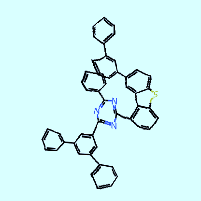 c1ccc(-c2cccc(-c3ccc4sc5cccc(-c6nc(-c7ccccc7)nc(-c7cc(-c8ccccc8)cc(-c8ccccc8)c7)n6)c5c4c3)c2)cc1